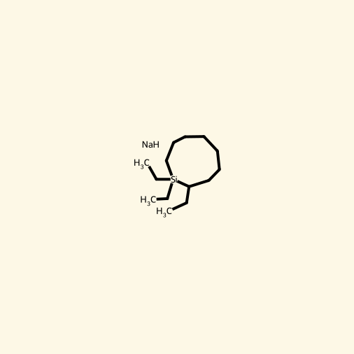 CCC1CCCCCCC[Si]1(CC)CC.[NaH]